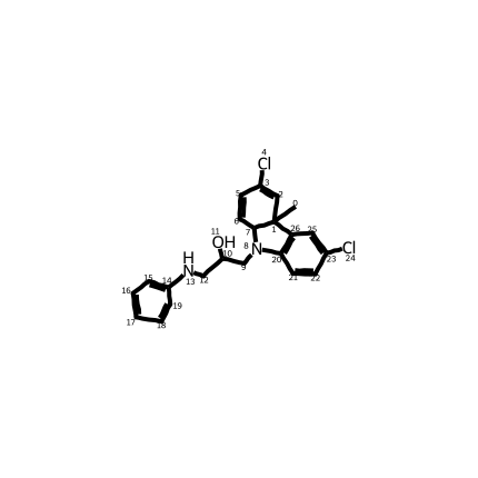 CC12C=C(Cl)C=CC1N(CC(O)CNc1ccccc1)c1ccc(Cl)cc12